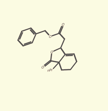 CCCC12CCCC=C1C(CC(=O)OCc1ccccc1)OC2=O